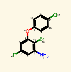 Nc1cc(F)cc(Oc2ccc(Cl)cc2)c1Br